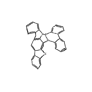 c1ccc2c(c1)B1N(c3ccccc3-2)c2c3sc4ccccc4c3cc3c4ccccc4n1c23